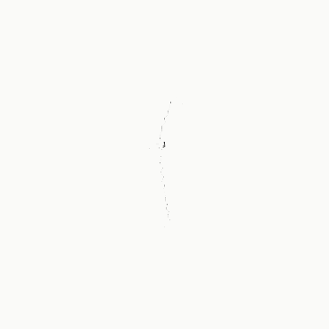 CCCCCCCCCCCCCCCCCN1C=CN(CCCCCCCCCC)C1C